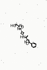 C=C(N[C@H]1C[C@H](c2nc([C@@H](C)O)no2)C1)c1cc(-c2ccccc2)on1